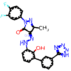 CC1=NN(c2ccc(F)c(F)c2)C(=O)/C1=N\Nc1cccc(-c2cccc(-c3nnn[nH]3)c2)c1O